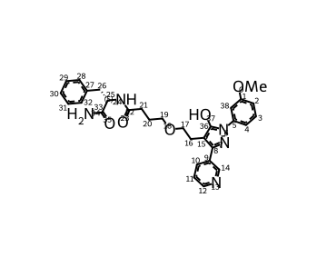 COc1cccc(-n2nc(-c3cccnc3)c(CCOCCCC(=O)N[C@@H](Cc3ccccc3)C(N)=O)c2O)c1